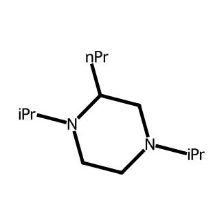 CCCC1CN(C(C)C)CCN1C(C)C